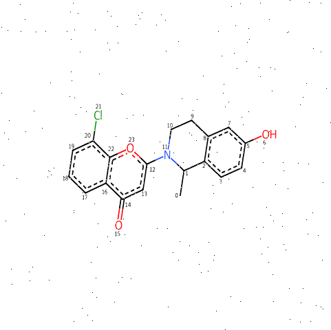 CC1c2ccc(O)cc2CCN1c1cc(=O)c2cccc(Cl)c2o1